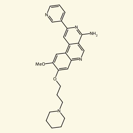 COc1cc2c(cc1OCCCN1CCCCC1)ncc1c(N)nc(-c3cccnc3)cc12